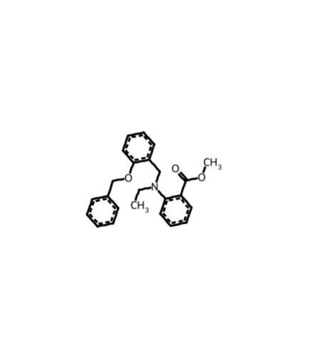 CCN(Cc1ccccc1OCc1ccccc1)c1ccccc1C(=O)OC